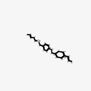 CC=CCCOCc1ccc(CCC2CCC(/C=C/C)CC2)cc1